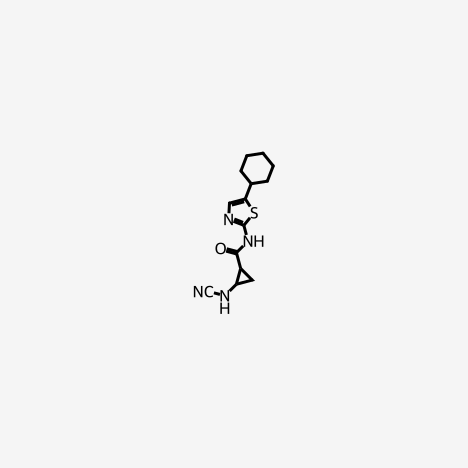 N#CNC1CC1C(=O)Nc1ncc(C2CCCCC2)s1